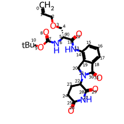 C=CCOC[C@@H](NC(=O)OC(C)(C)C)C(=O)Nc1cccc2c1CN(C1CCC(=O)NC1=O)C2=O